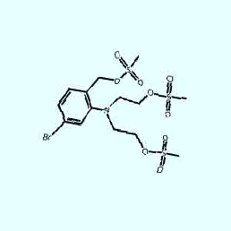 CS(=O)(=O)OCCN(CCOS(C)(=O)=O)c1cc(Br)ccc1COS(C)(=O)=O